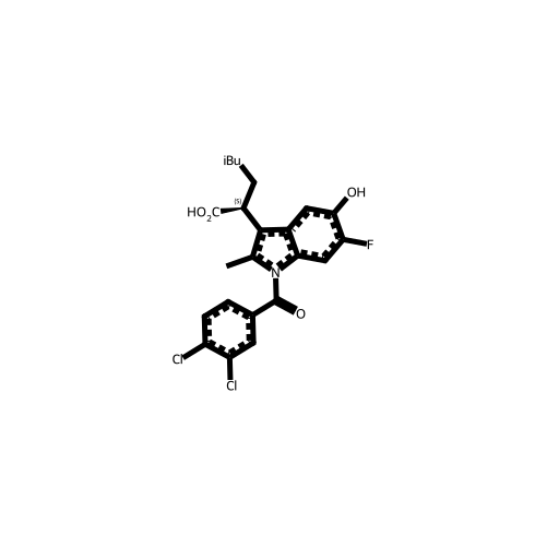 CCC(C)C[C@H](C(=O)O)c1c(C)n(C(=O)c2ccc(Cl)c(Cl)c2)c2cc(F)c(O)cc12